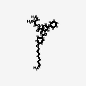 C=CCCCCCCOc1ccc(C(=O)OC2(C(=O)OCC(C)CC)C=CC(c3ccccc3)=CC2)cc1